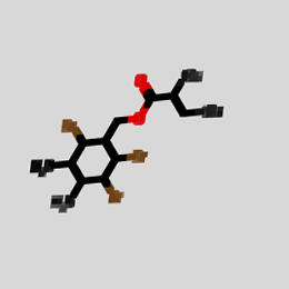 BC1C(B)C(Br)C(COC(=O)C(CC(C)(C)C)C(C)(C)C)C(Br)C1Br